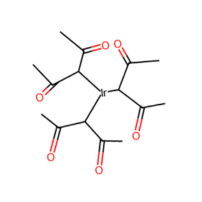 CC(=O)[CH](C(C)=O)[Ir]([CH](C(C)=O)C(C)=O)[CH](C(C)=O)C(C)=O